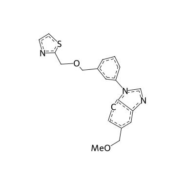 COCc1ccc2c(c1)ncn2-c1cccc(COCc2nccs2)c1